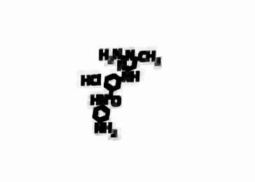 Cc1cc(Nc2cccc(C(=O)Nc3ccc(N)cc3)c2)nc(N)n1.Cl